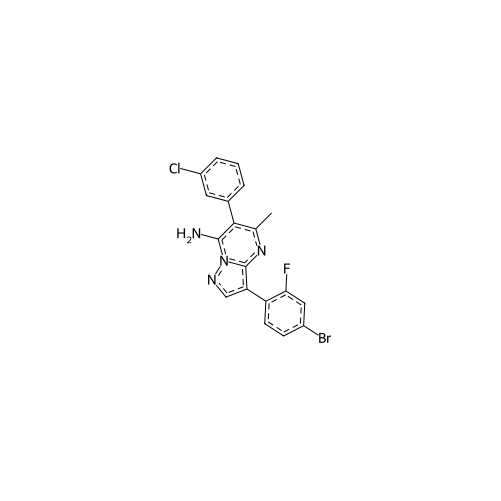 Cc1nc2c(-c3ccc(Br)cc3F)cnn2c(N)c1-c1cccc(Cl)c1